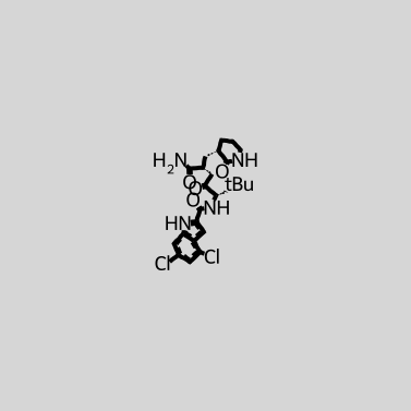 CC(C)(C)C[C@H](NC(=O)c1cc2c(Cl)cc(Cl)cc2[nH]1)C(=O)C[C@@H](C[C@@H]1CCCNC1=O)C(N)=O